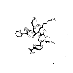 CCCCCCN(C(=O)[C@@H](NC(=O)C1CCCCO1)[C@@H](C)CC)[C@H](C[C@@H](OCC)c1nc(C(=O)O)cs1)C(C)C